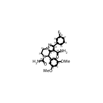 COc1cc(OC)cc(C2c3c(C(N)=O)c(-c4cccc(F)c4)nn3CCN2C(N)=O)c1